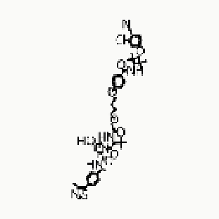 Cc1ncsc1-c1ccc(C(C)NC(=O)[C@@H]2C[C@@H](O)CN2C(=O)C(NC(=O)COCCCCOc2ccc(C(=O)N[C@H]3C(C)(C)[C@H](Oc4ccc(C#N)c(Cl)c4)C3(C)C)cc2)C(C)(C)C)cc1